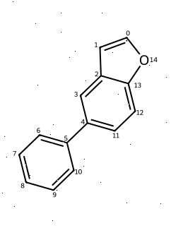 [c]1cc2cc(-c3ccccc3)ccc2o1